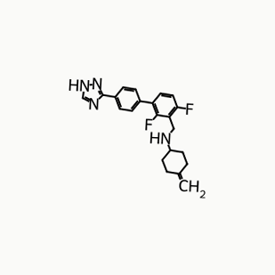 C=C1CCC(NCc2c(F)ccc(-c3ccc(-c4nc[nH]n4)cc3)c2F)CC1